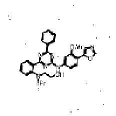 CCCN(CCO)c1ccccc1-c1nc(Nc2ccc(-c3cnco3)c(OC)c2)nc(-c2ccccc2)n1